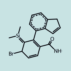 C[Si](C)=C1C(c2cccc3c2C=CC3)=C(C([NH])=O)C=CC1Br